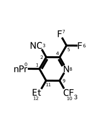 CCCC1=C(C#N)C(C(F)F)=NC(C(F)(F)F)C1CC